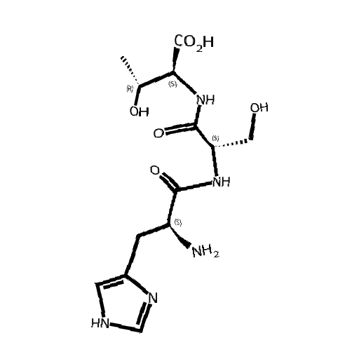 C[C@@H](O)[C@H](NC(=O)[C@H](CO)NC(=O)[C@@H](N)Cc1c[nH]cn1)C(=O)O